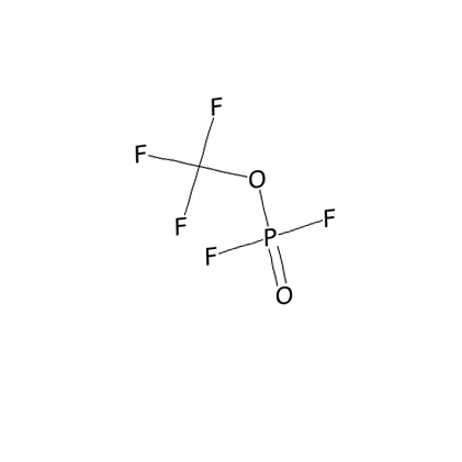 O=P(F)(F)OC(F)(F)F